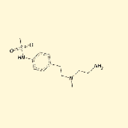 CN(CCN)CCc1ccc(NS(C)(=O)=O)cc1